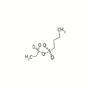 CCCCS(=O)(=O)OS(=O)(=O)CC